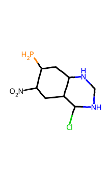 O=[N+]([O-])C1CC2C(Cl)NCNC2CC1P